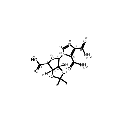 CC1(C)O[C@@H]2[C@H](O1)[C@@H](C(=O)O)O[C@H]2n1cnc(C(N)=O)c1C(N)=O